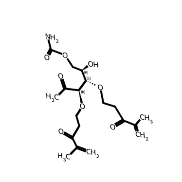 C=C(C)C(=O)CCO[C@@H]([C@H](O)COC(N)=O)[C@@H](OCCC(=O)C(=C)C)C(C)=O